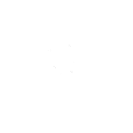 CCn1c(=O)[nH]c(Cl)c(N)c1=O